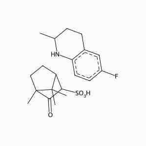 CC12CCC(C(S(=O)(=O)O)C1=O)C2(C)C.CC1CCc2cc(F)ccc2N1